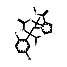 C=C(NC(Cn1cccc1C(=C)OC)(c1cc(Br)ccc1F)C(F)F)OC(C)(C)C